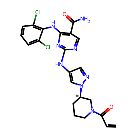 C=CC(=O)N1CCC[C@@H](n2cc(Nc3ncc(C(N)=O)c(Nc4c(Cl)cccc4Cl)n3)cn2)C1